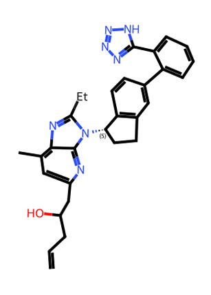 C=CCC(O)Cc1cc(C)c2nc(CC)n([C@H]3CCc4cc(-c5ccccc5-c5nnn[nH]5)ccc43)c2n1